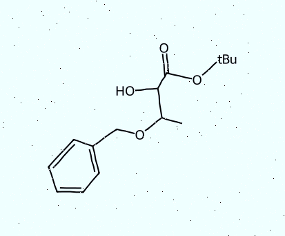 CC(OCc1ccccc1)C(O)C(=O)OC(C)(C)C